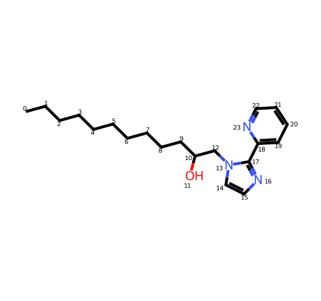 CCCCCCCCCCC(O)Cn1ccnc1-c1ccccn1